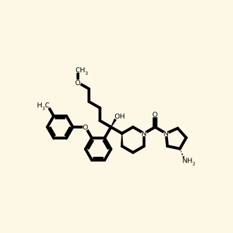 COCCCC[C@@](O)(c1ccccc1Oc1cccc(C)c1)[C@@H]1CCCN(C(=O)N2CC[C@H](N)C2)C1